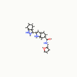 O=C(NCc1ccco1)c1ccc2cc(-c3n[nH]c4ccccc34)[nH]c2c1